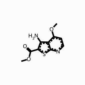 COC(=O)c1sc2nccc(OC)c2c1N